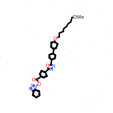 COCCCCCCCCOc1ccc(-c2ccc(-c3nnc(-c4ccc(C(=O)On5nnc6ccccc65)cc4)o3)cc2)cc1